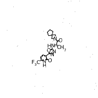 C[C@H](Nc1nnc(-c2ccc(C(F)(F)F)[nH]c2=O)o1)C(=O)N1CC2(CCCC2)C1